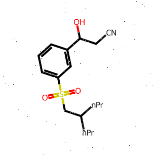 CCCC(CCC)CS(=O)(=O)c1cccc(C(O)CC#N)c1